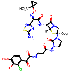 Nc1nc(/C(=N/OC2(C(=O)O)CC2)C(=O)N[C@@H]2C(=O)N3C[C@@](C(=O)O)(N4CCN(NC(=O)CCNC(=O)C(=O)c5ccc(O)c(O)c5Cl)C4=O)S[C@H]23)ns1